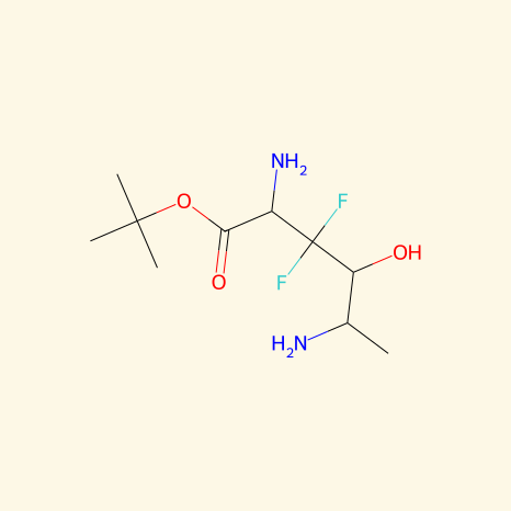 CC(N)C(O)C(F)(F)C(N)C(=O)OC(C)(C)C